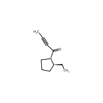 CC#CC(=O)N1CCC[C@@H]1CC